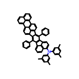 Cc1cc(C)cc(N(c2cc(C)cc(C)c2)c2ccc3c4c(-c5ccccc5)c5c6ccc7c8cccc9cccc(c%10ccc(c5c(-c5ccccc5)c4c4cccc2c43)c6c%107)c98)c1